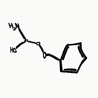 NP(O)OOc1ccccc1